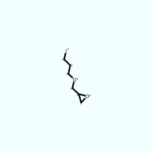 ICCCOCC1CO1